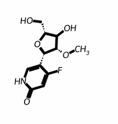 CO[C@H]1C(O)[C@@H](CO)O[C@H]1c1c[nH]c(=O)cc1F